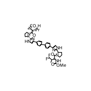 COC(=O)N[C@H](C(=O)N1CCCC1c1nc(-c2ccc(-c3ccc(-c4c[nH]c([C@@H]5CCCN5C(=O)[C@H](C(C)C)N(C)C(=O)O)n4)cc3)cc2)c[nH]1)C(C)C(F)F